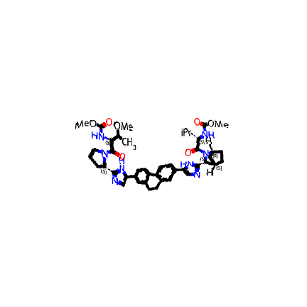 COC(=O)N[C@H](C(=O)N1[C@@H]2CC[C@@H](C2)[C@H]1c1ncc(-c2ccc3c(c2)CCc2cc(-c4cnc([C@@H]5CCCN5C(=O)[C@@H](NC(=O)OC)C(C)OC)[nH]4)ccc2-3)[nH]1)C(C)C